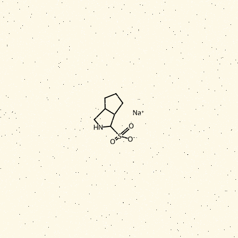 O=S(=O)([O-])C1NCC2CCCC21.[Na+]